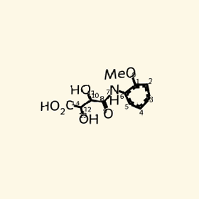 COc1ccccc1NC(=O)C(O)C(O)C(=O)O